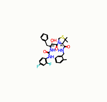 Cc1ccccc1CNC(=O)[C@H]1N(C(=O)[C@@H](O)[C@H](Cc2ccccc2)NC(=O)Nc2ccc(F)cc2F)CSC1(C)C